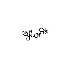 CC1(C)Cc2cccc(CN3CCC(CNC(=O)c4ccncc4)CC3)c2O1